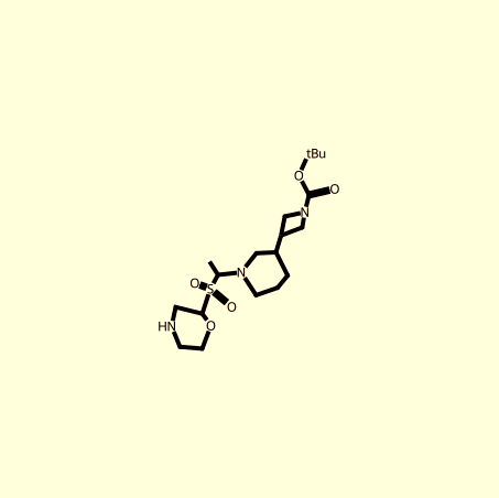 CC(N1CCCC(C2CN(C(=O)OC(C)(C)C)C2)C1)S(=O)(=O)C1CNCCO1